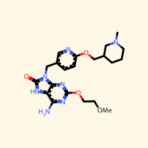 COCCOc1nc(N)c2[nH]c(=O)n(Cc3ccc(OCC4CCCN(C)C4)nc3)c2n1